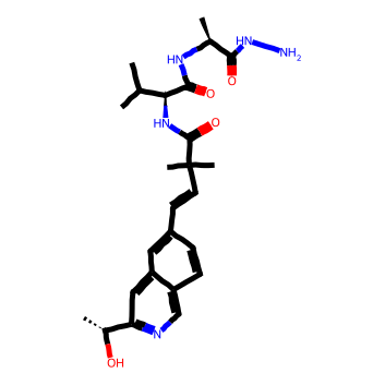 CC(C)[C@H](NC(=O)C(C)(C)/C=C/c1ccc2cnc([C@@H](C)O)cc2c1)C(=O)N[C@@H](C)C(=O)NN